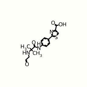 CC(C)(NCC=O)C(=O)Nc1ccc(-c2nc(C(=O)O)cs2)cc1